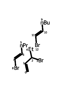 C=CC(Br)CC.CCCC=CBr.CCCCC=CBr